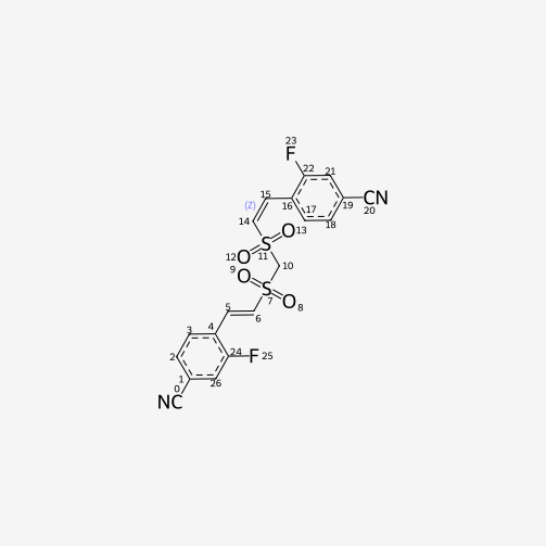 N#Cc1ccc(C=CS(=O)(=O)CS(=O)(=O)/C=C\c2ccc(C#N)cc2F)c(F)c1